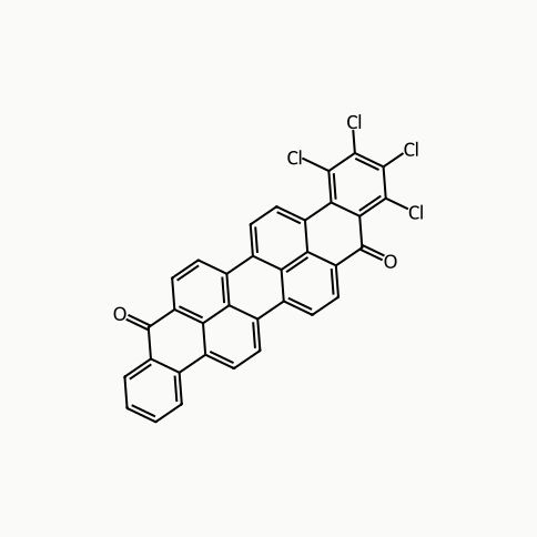 O=C1c2ccccc2-c2ccc3c4ccc5c6c(ccc(c7ccc1c2c37)c64)-c1c(Cl)c(Cl)c(Cl)c(Cl)c1C5=O